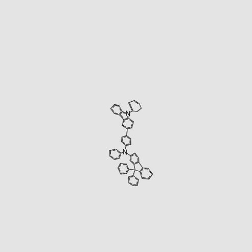 C1=CCCC(n2c3ccccc3c3cc(-c4ccc(N(c5ccccc5)c5ccc6c(c5)C(c5ccccc5)(c5ccccc5)c5ccccc5-6)cc4)ccc32)=C1